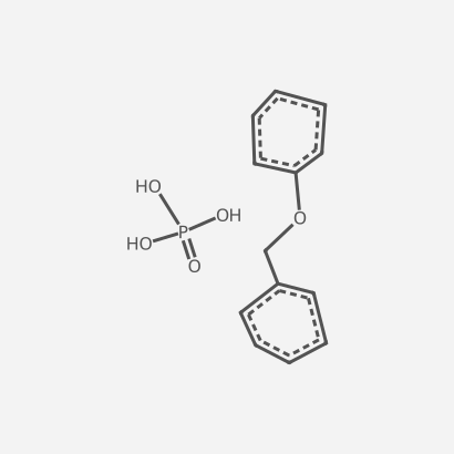 O=P(O)(O)O.c1ccc(COc2ccccc2)cc1